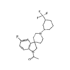 CC(=O)N1CC2(CCN(C3CCCC(C(F)(F)F)C3)CC2)c2cc(F)ccc21